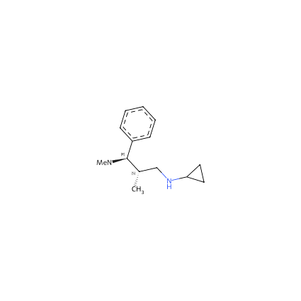 [CH2-][NH2+][C@@H](c1ccccc1)[C@@H](C)CNC1CC1